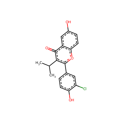 CC(C)c1c(-c2ccc(O)c(Cl)c2)oc2ccc(O)cc2c1=O